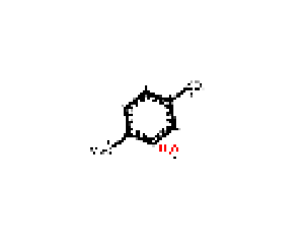 COc1ccc(S(=O)(=O)O)cc1.O